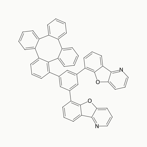 c1ccc2c(c1)-c1ccccc1-c1cccc(-c3cc(-c4cccc5c4oc4cccnc45)cc(-c4cccc5c4oc4cccnc45)c3)c1-c1ccccc1-2